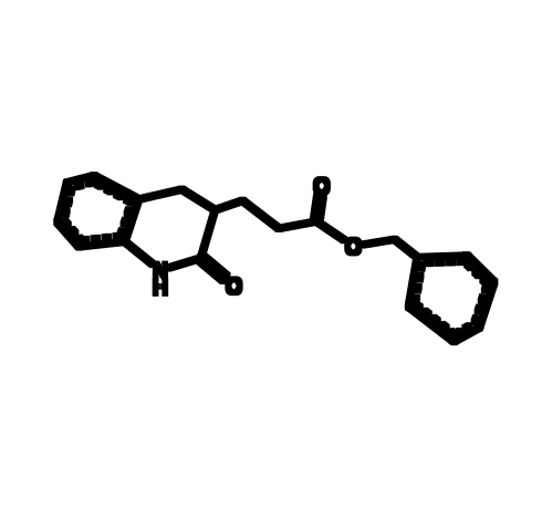 O=C(CCC1Cc2ccccc2NC1=O)OCc1ccccc1